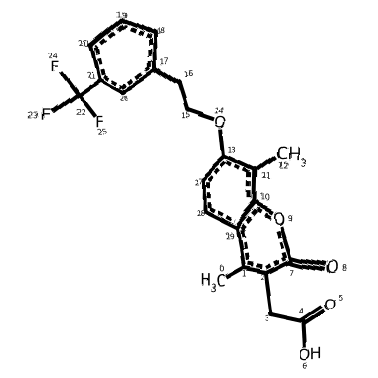 Cc1c(CC(=O)O)c(=O)oc2c(C)c(OCCc3cccc(C(F)(F)F)c3)ccc12